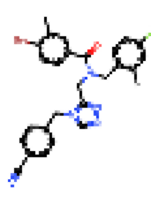 Cc1cc(C(=O)N(Cc2ccc(F)cc2C)Cc2nncn2Cc2ccc(C#N)cc2)ccc1Br